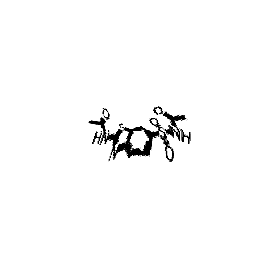 CC(=O)Nc1nc2ccc(S(=O)(=O)NC(C)=O)cc2s1